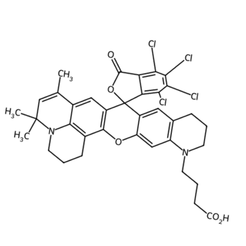 CC1=CC(C)(C)N2CCCc3c4c(cc1c32)C1(OC(=O)c2c(Cl)c(Cl)c(Cl)c(Cl)c21)c1cc2c(cc1O4)N(CCCC(=O)O)CCC2